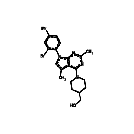 Cc1nc(N2CCC(CO)CC2)c2c(C)cn(-c3ccc(C(C)C)cc3Br)c2n1